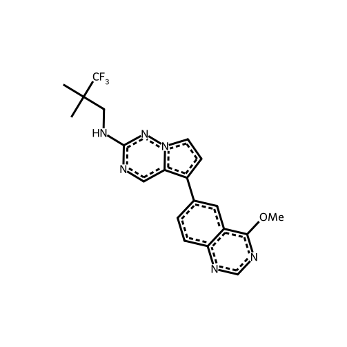 COc1ncnc2ccc(-c3ccn4nc(NCC(C)(C)C(F)(F)F)ncc34)cc12